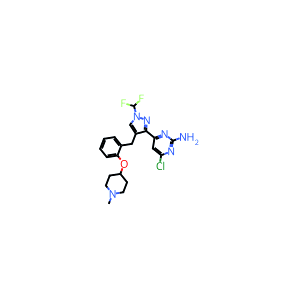 CN1CCC(Oc2ccccc2Cc2cn(C(F)F)nc2-c2cc(Cl)nc(N)n2)CC1